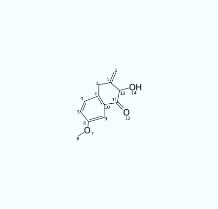 C=C1Cc2ccc(OC)cc2C(=O)C1O